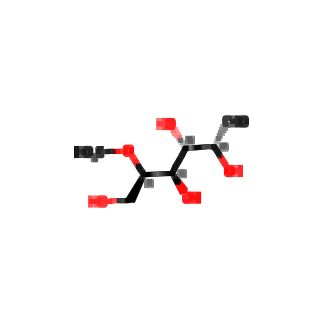 O=C[C@H](O)[C@@H](O)[C@@H](O)[C@@H](CO)OS(=O)(=O)O